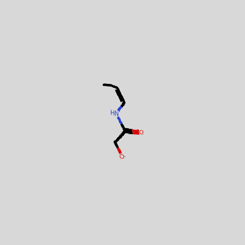 C/C=C\NC(=O)C[O]